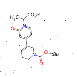 CC(C(=O)O)n1ccc(C2=CCCN(C(=O)OC(C)(C)C)C2)cc1=O